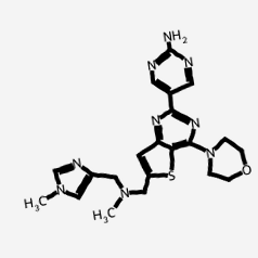 CN(Cc1cn(C)cn1)Cc1cc2nc(-c3cnc(N)nc3)nc(N3CCOCC3)c2s1